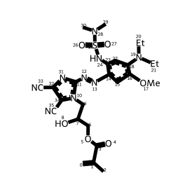 C=C(C)C(=O)OCC(O)Cn1c(/N=N/c2cc(OC)c(N(CC)CC)cc2NS(=O)(=O)N(C)C)nc(C#N)c1C#N